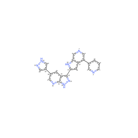 c1cncc(-c2cncc3[nH]c(-c4n[nH]c5ncc(-c6cn[nH]c6)cc45)cc23)c1